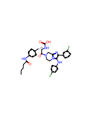 CCCCC(=O)Nc1ccc(C[C@H](NC(=O)O)C(=O)N2CCn3c(nc(-c4cccc(F)c4)c3Nc3ccc(F)cc3)C2)cc1